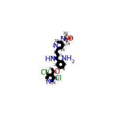 CC(Oc1ccc(N)c(C(=N)/C=C/c2ccc(N=S(C)(C)=O)cn2)c1)c1c(Cl)cncc1Cl